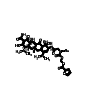 CCCCN(CC(=O)NC1C=C(N(C)C)C2=C(C(=O)C3=C[C@@]4(O)C(=O)C(C(N)=O)=C(O)[C@@H](N(C)C)[C@@H]4C[C@@H]3C2)C1(O)O)C(=O)OCOC(=O)c1ccco1